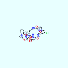 CCC[C@H]1NC(=O)[C@H](Cc2cccc(Cl)c2)N(C)C(=O)[C@H](CC(C)C)NC(=O)[C@@H](N(CC)C(=O)[C@@H](NC(=O)[C@@H]2CCCN2C(=O)C2(C(F)(F)F)CCCCC2)[C@@H](C)O)CCCCNC1=O